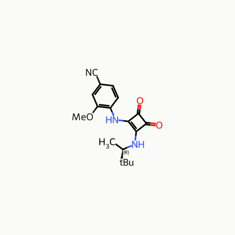 COc1cc(C#N)ccc1Nc1c(N[C@H](C)C(C)(C)C)c(=O)c1=O